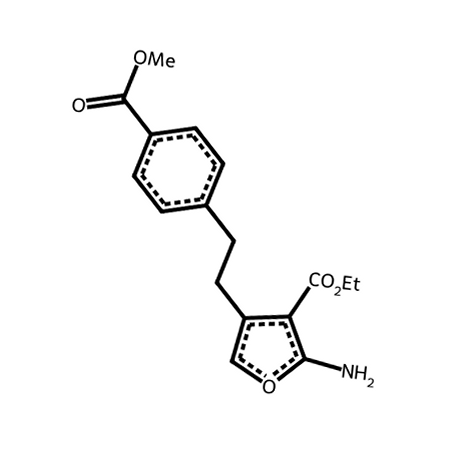 CCOC(=O)c1c(CCc2ccc(C(=O)OC)cc2)coc1N